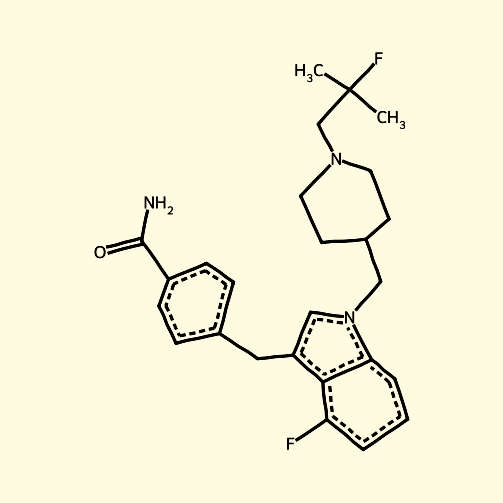 CC(C)(F)CN1CCC(Cn2cc(Cc3ccc(C(N)=O)cc3)c3c(F)cccc32)CC1